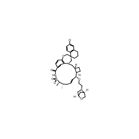 C[C@@H]1[C@@H](C)C/C=C/[C@H](OCCN2C[C@H]3C[C@@H]2CO3)[C@@H]2CC[C@H]2CN2C[C@@]3(CCCc4cc(Cl)ccc43)COc3ccc(cc32)C(=O)NS1(=O)=O